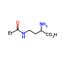 CCC(=O)NCCC(N)C(=O)O